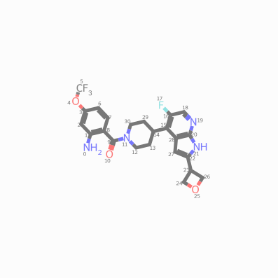 Nc1cc(OC(F)(F)F)ccc1C(=O)N1CCC(c2c(F)cnc3[nH]c(C4COC4)cc23)CC1